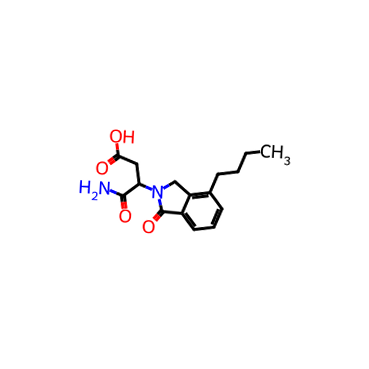 CCCCc1cccc2c1CN(C(CC(=O)O)C(N)=O)C2=O